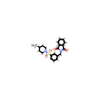 CC1CCN(S(=O)(=O)c2cccc(CN3C(=O)c4ccccc4C3=O)c2)CC1